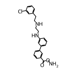 NOC(=O)c1cccc(-c2cccc(NCCNCCc3cccc(Cl)c3)c2)c1